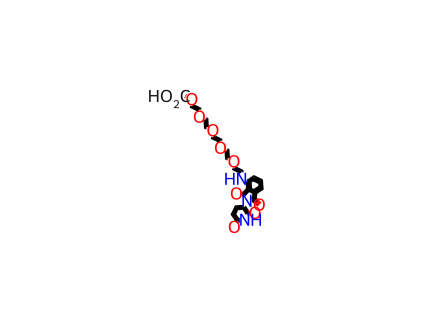 O=C1CCC(N2C(=O)c3cccc(NCCOCCOCCOCCOCCOC(=O)O)c3C2=O)C(=O)N1